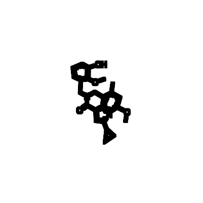 COc1ccc(CN(Cc2cccc(O)c2OC)C(=O)c2cc(C3CC3)nn2C)c(C)c1